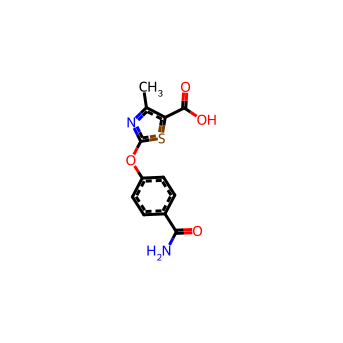 Cc1nc(Oc2ccc(C(N)=O)cc2)sc1C(=O)O